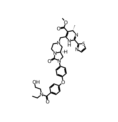 CCN(CCO)C(=O)c1ccc(Oc2ccc(N3C[C@@H]4CN(CC5=C(C(=O)OC)[C@H](C)N=C(c6nccs6)N5)CCN4C3=O)cc2)cc1